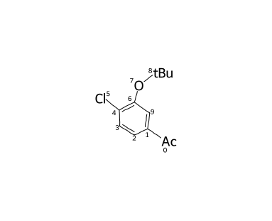 CC(=O)c1ccc(Cl)c(OC(C)(C)C)c1